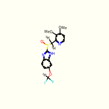 [2H]C(F)(F)Oc1ccc2nc([S+]([O-])C([2H])([2H])c3nccc(OC)c3OC)[nH]c2c1